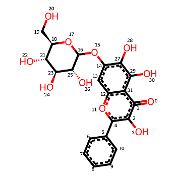 O=c1c(O)c(-c2ccccc2)oc2cc(OC3O[C@H](CO)[C@@H](O)[C@H](O)[C@H]3O)c(O)c(O)c12